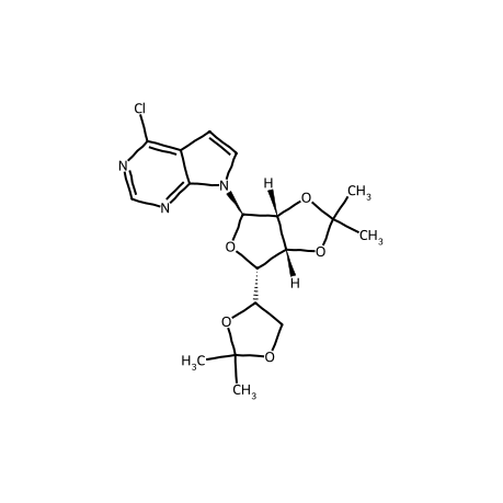 CC1(C)OCC([C@@H]2O[C@@H](n3ccc4c(Cl)ncnc43)[C@@H]3OC(C)(C)O[C@@H]32)O1